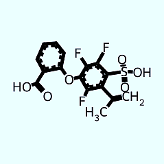 C=C(C)c1c(F)c(Oc2ccccc2C(=O)O)c(F)c(F)c1S(=O)(=O)O